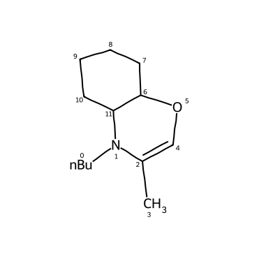 CCCCN1C(C)=COC2CCCCC21